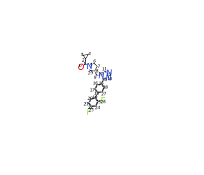 O=C(C1CC1)N1CC[C@@H](Cn2cnnc2-c2ccc(-c3ccc(F)cc3F)cc2)C1